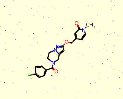 Cn1ccc(COc2cc3n(n2)CCN(C(=O)c2ccc(F)cc2)C3)cc1=O